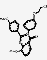 COc1ccc(-c2nc3c(OC)cccc3c(=O)n2-c2ccc(OCCCl)cc2)cc1